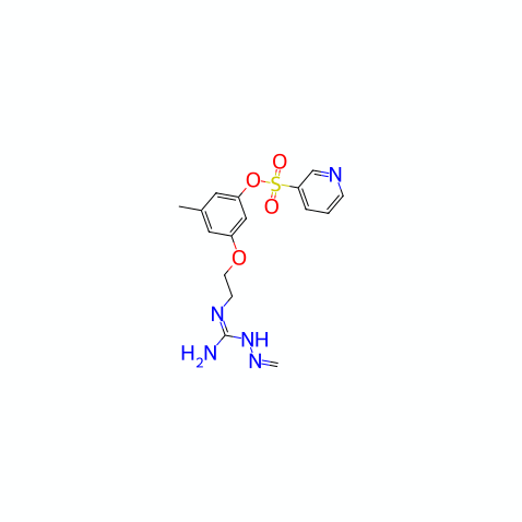 C=NNC(N)=NCCOc1cc(C)cc(OS(=O)(=O)c2cccnc2)c1